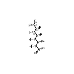 FC(F)C(F)C(F)C(F)C(F)C(F)C(F)C(F)F